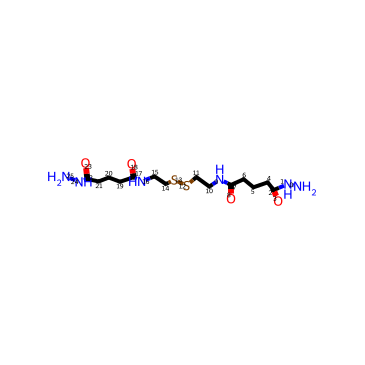 NNC(=O)CCCC(=O)NCCSSCCNC(=O)CCCC(=O)NN